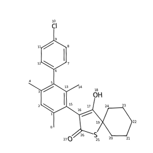 Cc1cc(C)c(-c2ccc(Cl)cc2)c(C)c1C1=C(O)C2(CCCCC2)SC1=O